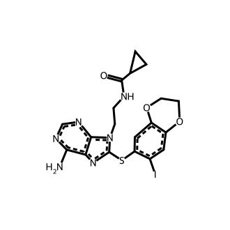 Nc1ncnc2c1nc(Sc1cc3c(cc1I)OCCO3)n2CCNC(=O)C1CC1